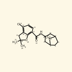 CN1C2CCC1CC(NC(=O)c1ccc(Cl)c3c1OC(C)(C)C3)C2